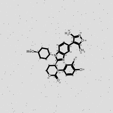 CO[C@H]1CC[C@H](n2c([C@@H]3CCOC(=O)N3c3ccc(Cl)c(F)c3)nc3cc(-c4c(C)noc4C)ccc32)CC1